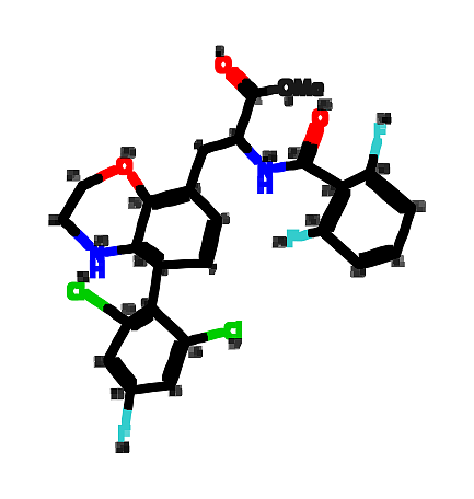 COC(=O)C(Cc1ccc(-c2c(Cl)cc(F)cc2Cl)c2c1OCCN2)NC(=O)c1c(F)cccc1F